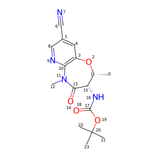 C[C@H]1Oc2cc(C#N)cnc2N(C)C(=O)[C@H]1NC(=O)OC(C)(C)C